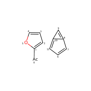 CC(=O)c1ccco1.c1cc2cc-2c1